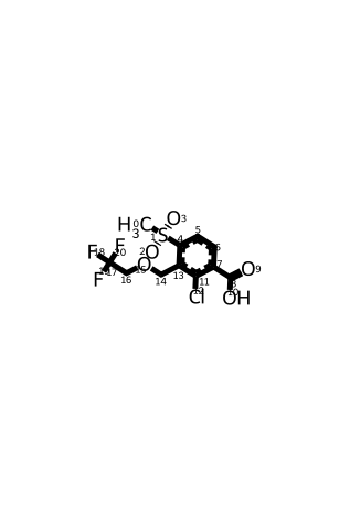 CS(=O)(=O)c1ccc(C(=O)O)c(Cl)c1COCC(F)(F)F